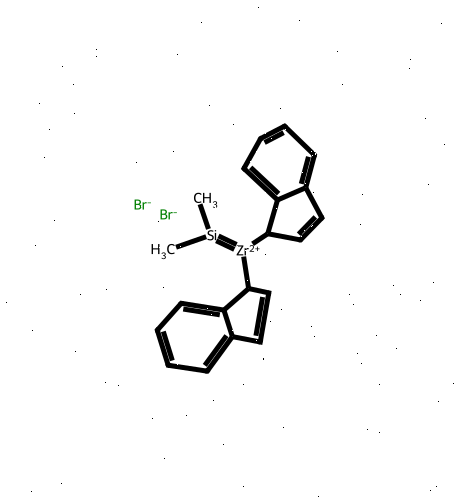 C[Si](C)=[Zr+2]([CH]1C=Cc2ccccc21)[CH]1C=Cc2ccccc21.[Br-].[Br-]